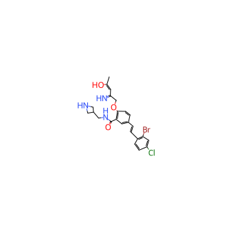 C/C(O)=C/C(=N)COc1ccc(/C=C/c2ccc(Cl)cc2Br)cc1C(=O)NCC1CNC1